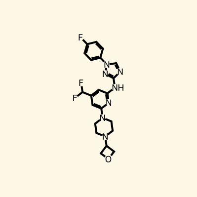 Fc1ccc(-n2cnc(Nc3cc(C(F)F)cc(N4CCN(C5COC5)CC4)n3)n2)cc1